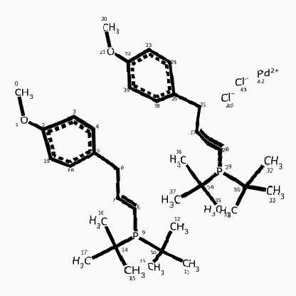 COc1ccc(CC=CP(C(C)(C)C)C(C)(C)C)cc1.COc1ccc(CC=CP(C(C)(C)C)C(C)(C)C)cc1.[Cl-].[Cl-].[Pd+2]